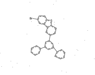 Brc1ccc2sc3ccc(-c4cc(-c5ccccc5)cc(-c5ccccc5)c4)cc3c2c1